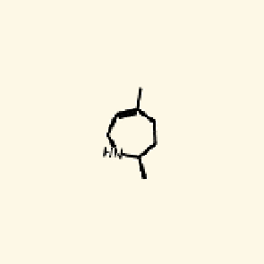 CC1=CCNC(C)CC1